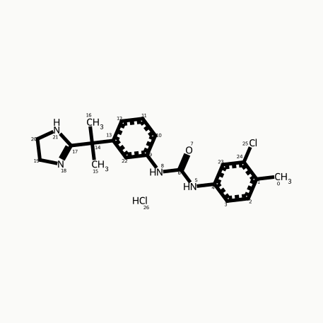 Cc1ccc(NC(=O)Nc2cccc(C(C)(C)C3=NCCN3)c2)cc1Cl.Cl